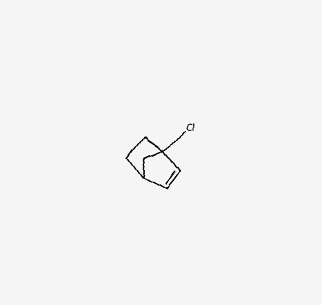 ClC12C=CC(CC1)C2